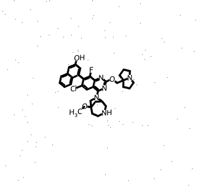 COC12CCNCC(C1)N(c1nc(OCC34CCCN3CCC4)nc3c(F)c(-c4cc(O)cc5ccccc45)c(Cl)cc13)C2